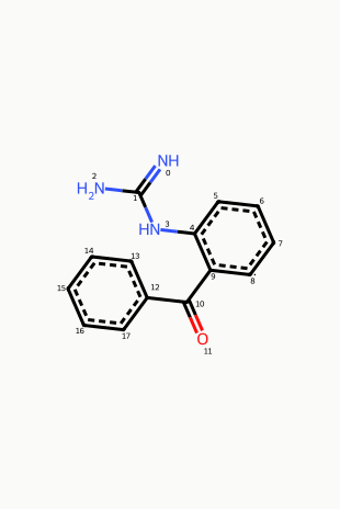 N=C(N)Nc1ccc[c]c1C(=O)c1ccccc1